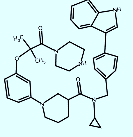 CC(C)(Oc1cccc(N2CCCC(C(=O)N(Cc3ccc(-c4c[nH]c5ccccc45)cc3)C3CC3)C2)c1)C(=O)N1CCNCC1